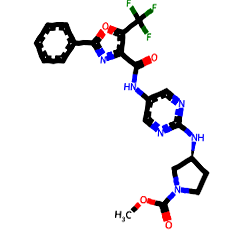 COC(=O)N1CC[C@H](Nc2ncc(NC(=O)c3nc(-c4ccccc4)oc3C(F)(F)F)cn2)C1